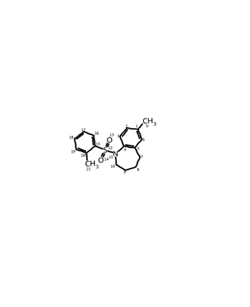 Cc1ccc2c(c1)CCCCN2S(=O)(=O)c1ccccc1C